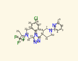 Cc1cccc(N2CCC(c3nnc4n3-c3ccc(Cl)cc3CN(C(C)C(F)(F)F)C4)CC2)n1